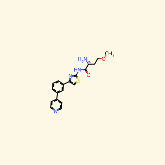 COCC[C@H](N)C(=O)Nc1nc(-c2cccc(-c3ccncc3)c2)cs1